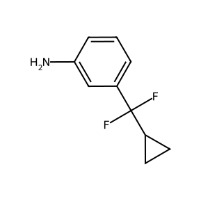 Nc1cccc(C(F)(F)C2CC2)c1